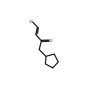 O=C(C=CCl)CC1CCCC1